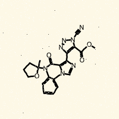 COC(=O)c1c(-c2ncn3c2c(=O)n(C2(C)CCCO2)c2ccccc23)nnn1C#N